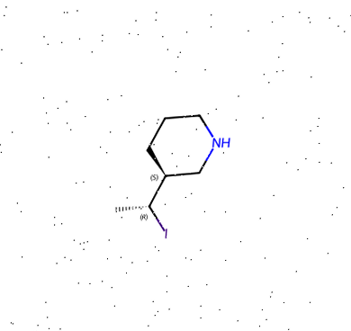 C[C@@H](I)[C@H]1CCCNC1